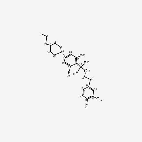 CCC[C@H]1CC[C@H](c2cc(F)c(C(F)(F)OCCc3ccc(F)c(F)c3)c(F)c2)CC1